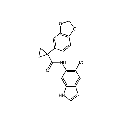 CCc1cc2cc[nH]c2cc1NC(=O)C1(c2ccc3c(c2)OCO3)CC1